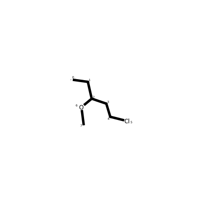 [CH2]CC(CCCl)OC